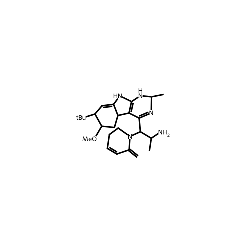 C=C1C=CCCN1C(C1=NC(C)NC2=C1C1CC(OC)C(C(C)(C)C)C=C1N2)C(C)N